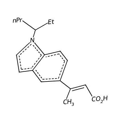 CCCC(CC)n1ccc2cc(C(C)=CC(=O)O)ccc21